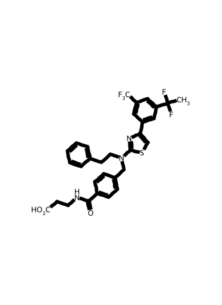 CC(F)(F)c1cc(-c2csc(N(CCc3ccccc3)Cc3ccc(C(=O)NCCC(=O)O)cc3)n2)cc(C(F)(F)F)c1